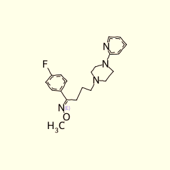 CO/N=C(\CCCN1CCN(c2ccccn2)CC1)c1ccc(F)cc1